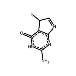 Nc1nc2c(c(=O)[nH]1)C(I)C=N2